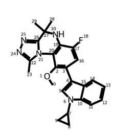 COc1c(-c2cn(C3CC3)c3ccccc23)cc(F)c2c1-n1c(C)nnc1C(C)(C)N2